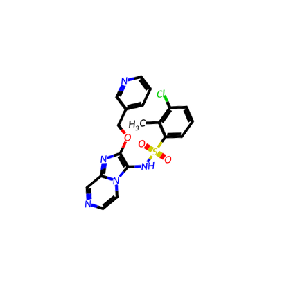 Cc1c(Cl)cccc1S(=O)(=O)Nc1c(OCc2cccnc2)nc2cnccn12